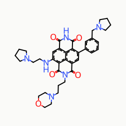 O=C1NC(=O)c2c(-c3cccc(CN4CCCC4)c3)cc3c4c(c(NCCN5CCCC5)cc1c24)C(=O)N(CCCN1CCOCC1)C3=O